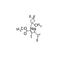 COC(=O)c1c(I)c(C2CC2F)nn1CC1(C)CC(F)(F)C1